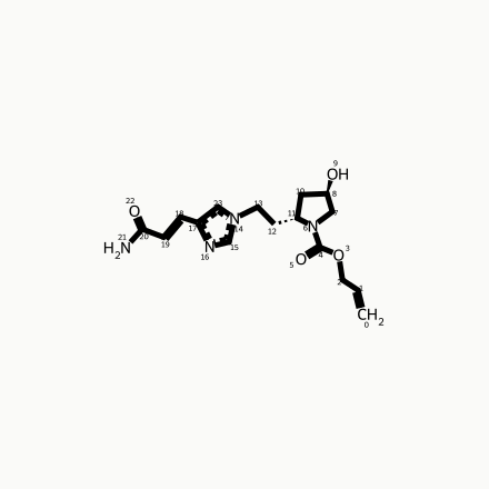 C=CCOC(=O)N1C[C@H](O)C[C@H]1CCn1cnc(/C=C/C(N)=O)c1